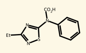 CCc1nsc(N(C(=O)O)c2ccccc2)n1